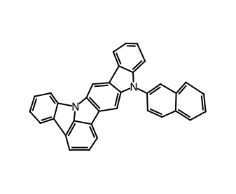 c1ccc2cc(-n3c4ccccc4c4cc5c(cc43)c3cccc4c6ccccc6n5c43)ccc2c1